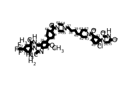 COc1cc2nc(C)nc(N[C@H](C)c3cc(N)cc(C(F)(F)F)c3)c2cc1C1CCC(C(=O)N2CCN(CCCCC3CCN(C(=O)c4ccc(Cl)c(N5CCC(=O)NC5=O)c4)CC3)CC2)CC1